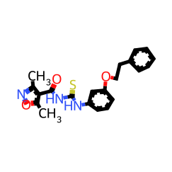 Cc1noc(C)c1C(=O)NC(=S)Nc1cccc(OCCc2ccccc2)c1